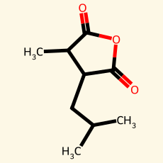 CC(C)CC1C(=O)OC(=O)C1C